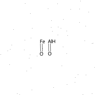 [O]=[AlH].[O]=[Fe]